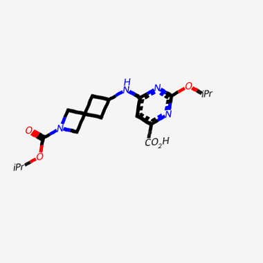 CC(C)OC(=O)N1CC2(CC(Nc3cc(C(=O)O)nc(OC(C)C)n3)C2)C1